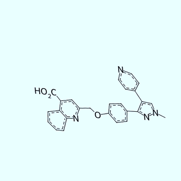 Cn1cc(-c2ccncc2)c(-c2ccc(OCc3cc(C(=O)O)c4ccccc4n3)cc2)n1